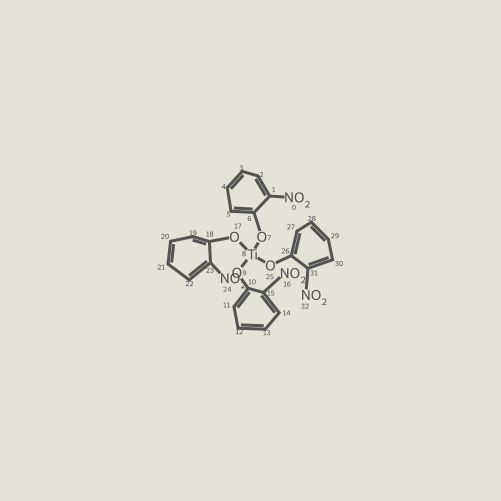 O=[N+]([O-])c1ccccc1[O][Ti]([O]c1ccccc1[N+](=O)[O-])([O]c1ccccc1[N+](=O)[O-])[O]c1ccccc1[N+](=O)[O-]